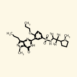 [2H]C(NS(=O)(=O)c1ccc(OCCC)c(-c2nc3c(CCC)nn(C)c3c(=O)[nH]2)c1)C([2H])([2H])C1CCCN1C